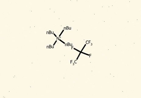 CCCC[N+](CCCC)(CCCC)CCCC.FC(F)(F)C(F)(F)C(F)(F)F